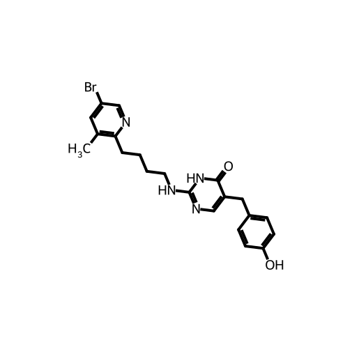 Cc1cc(Br)cnc1CCCCNc1ncc(Cc2ccc(O)cc2)c(=O)[nH]1